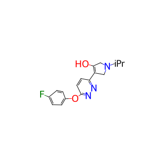 CC(C)N1CC(O)=C(c2ccc(Oc3ccc(F)cc3)nn2)C1